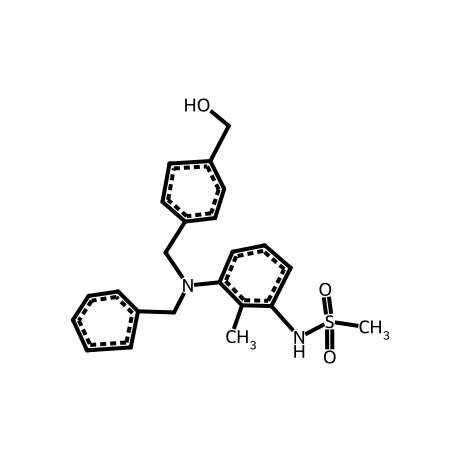 Cc1c(NS(C)(=O)=O)cccc1N(Cc1ccccc1)Cc1ccc(CO)cc1